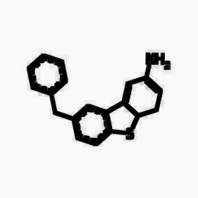 NC1=CCC2Sc3ccc(Cc4ccccc4)cc3C2=C1